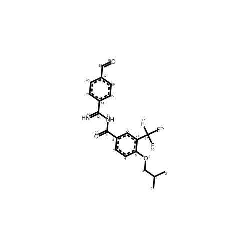 CC(C)COc1ccc(C(=O)NC(=N)c2ccc(C=O)cc2)cc1C(F)(F)F